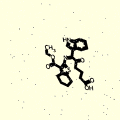 CCOC(=O)c1c(N=C(C(=O)CCCC(=O)O)c2c[nH]c3ccccc23)sc2c1CCCC2